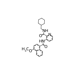 COc1ccc(C(=O)Nc2cccnc2C(=O)NCC2CCCCC2)c2ccccc12